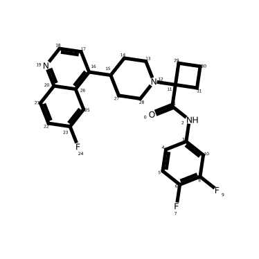 O=C(Nc1ccc(F)c(F)c1)C1(N2CCC(c3ccnc4ccc(F)cc34)CC2)CCC1